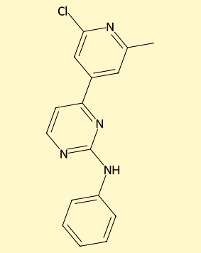 Cc1cc(-c2ccnc(Nc3ccccc3)n2)cc(Cl)n1